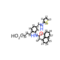 CC(C(=O)Nc1cc(CNc2cccs2)ccc1CCCC(=O)O)c1cccc2ccccc12